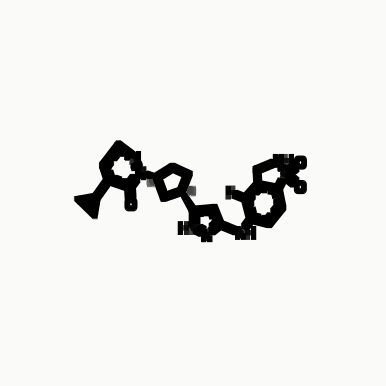 O=c1c(C2CC2)ccnn1[C@H]1CC[C@@H](c2cc(Nc3ccc4c(c3F)CNS4(=O)=O)n[nH]2)C1